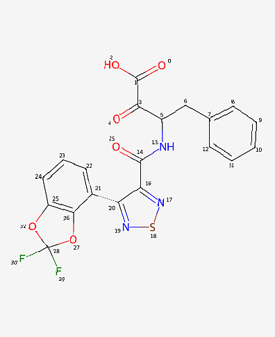 O=C(O)C(=O)C(Cc1ccccc1)NC(=O)c1nsnc1-c1cccc2c1OC(F)(F)O2